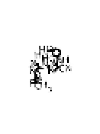 CC(F)(F)COc1ncncc1CNc1ncc(C#N)c(N[C@@H]2CCCC(C)(O)C2)n1